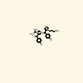 CC(C)n1cncc1C(=O)c1ccc(Cl)cc1.CCCCn1cncc1C(=O)c1ccc(Cl)cc1